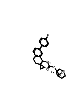 O=C(NC1c2cc(-c3ccc(F)cc3)ccc2CCC12CC2)O[C@H]1CN2CCC1CC2